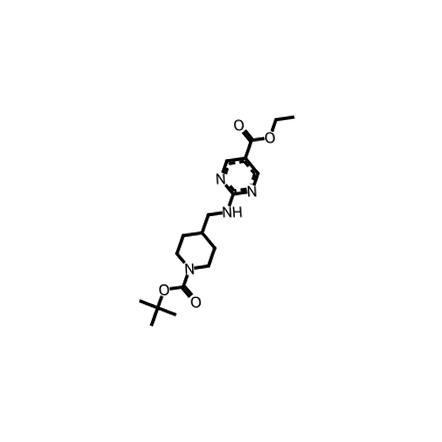 CCOC(=O)c1cnc(NCC2CCN(C(=O)OC(C)(C)C)CC2)nc1